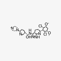 COc1cc(OC)c(Cl)c(-c2ccc3c(NC(O)c4ccc(N5CCN(C)CC5)nc4)n[nH]c3n2)c1Cl